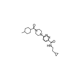 CC1CCC(C(=O)N2CCN(c3ccc(C(=O)NCCC4CC4)nn3)CC2)CC1